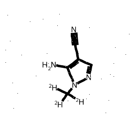 [2H]C([2H])([2H])n1ncc(C#N)c1N